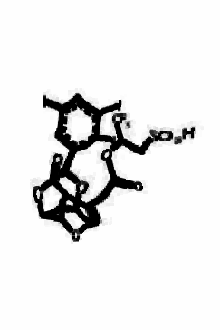 O=C(OC1C2OC(=O)C3C2OC1C3C(=O)OC(CS(=O)(=O)O)C(F)(F)F)c1cc(I)cc(I)c1I